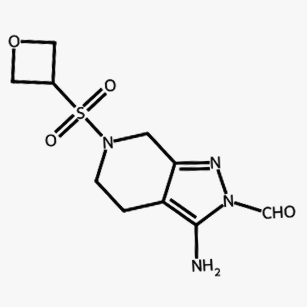 Nc1c2c(nn1C=O)CN(S(=O)(=O)C1COC1)CC2